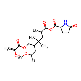 C=C(O)C(=O)OCC(CC(CC)OCCC)C(C)(C)CC(CC)C(=O)OC(=O)C1CCC(=O)N1